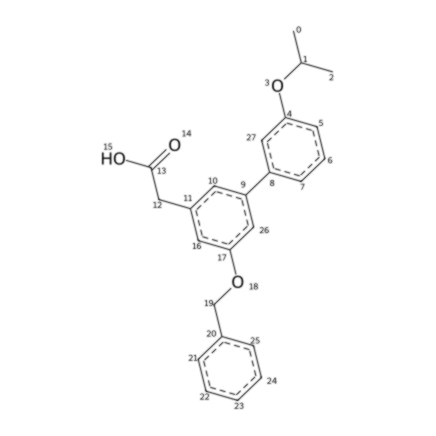 CC(C)Oc1cccc(-c2cc(CC(=O)O)cc(OCc3ccccc3)c2)c1